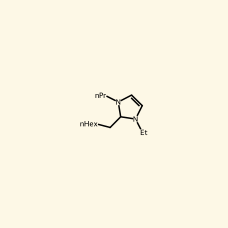 CCCCCCCC1N(CC)C=CN1CCC